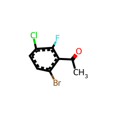 CC(=O)c1c(Br)ccc(Cl)c1F